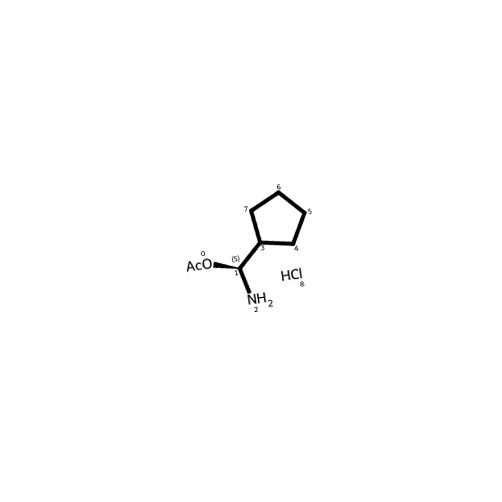 CC(=O)O[C@H](N)C1CCCC1.Cl